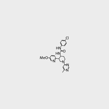 COc1ccc(C2CN(c3cc(C)ncn3)CCC2NC(=O)Nc2ccc(Cl)cc2)nc1